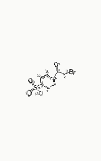 O=C(CBr)c1ccc(S(=O)(=O)Cl)cc1